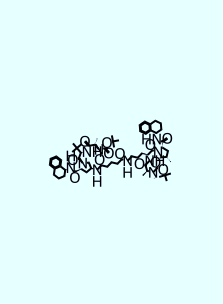 C[C@H]1C[C@@H](C(=O)N[C@@H]2CCCc3ccccc32)N(C(=O)[C@H](CCCNC(=O)CCCC(=O)N[C@H]2C[C@@H](C(=O)N[C@@H]3CCCc4ccccc43)N(C(=O)[C@@H](NC(=O)[C@H](C)N(C)C(=O)OC(C)(C)C)C(C)(C)C)C2)NC(=O)[C@H](C)N(C)C(=O)OC(C)(C)C)C1